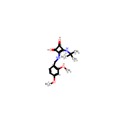 COc1ccc(CNc2c(NC(C)(C)C)c(=O)c2=O)c(OC)c1